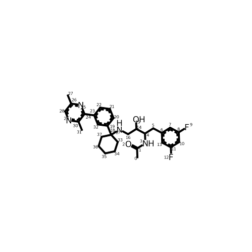 CC(=O)NC(Cc1cc(F)cc(F)c1)C(O)CNC1(c2cccc(-c3nc(C)cnc3C)c2)CCCCC1